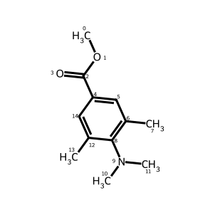 COC(=O)c1cc(C)c(N(C)C)c(C)c1